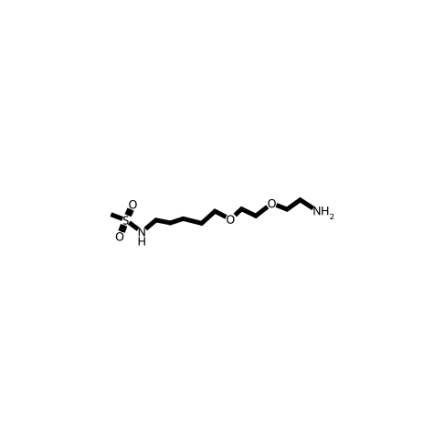 CS(=O)(=O)NCCCCCOCCOCCN